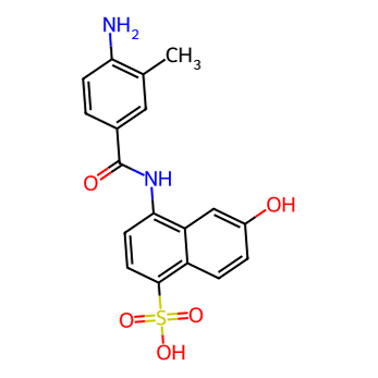 Cc1cc(C(=O)Nc2ccc(S(=O)(=O)O)c3ccc(O)cc23)ccc1N